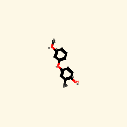 CCCc1cc(Oc2cccc(OCC)c2)ccc1O